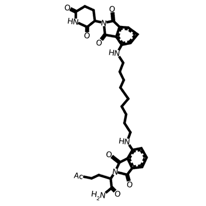 CC(=O)CCC(C(N)=O)N1C(=O)c2cccc(NCCCCCCCCCNc3cccc4c3C(=O)N(C3CCC(=O)NC3=O)C4=O)c2C1=O